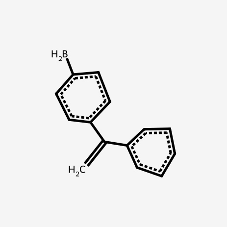 Bc1ccc(C(=C)c2ccccc2)cc1